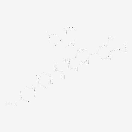 COCC1(CN(C)c2cc(-c3cnc(C4CC4)c(C(F)(F)F)c3)nc3nc(NC(=O)c4cnc(N5CCC(C(=O)O)CC5)cn4)[nH]c23)CCCC1